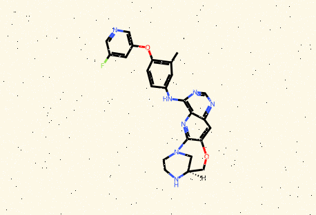 Cc1cc(Nc2ncnc3cc4c(nc23)N2CCN[C@H](CO4)C2)ccc1Oc1cncc(F)c1